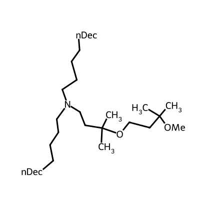 CCCCCCCCCCCCCCN(CCCCCCCCCCCCCC)CCC(C)(C)OCCC(C)(C)OC